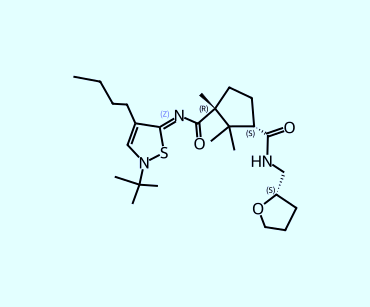 CCCCc1cn(C(C)(C)C)s/c1=N\C(=O)[C@]1(C)CC[C@H](C(=O)NC[C@@H]2CCCO2)C1(C)C